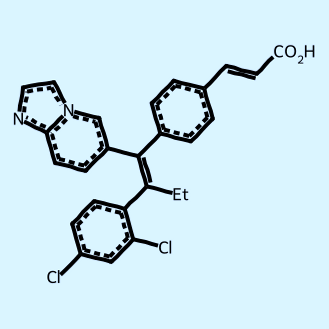 CCC(=C(c1ccc(C=CC(=O)O)cc1)c1ccc2nccn2c1)c1ccc(Cl)cc1Cl